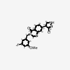 COc1cc(F)cc(Cn2cnc3cc(-c4c[nH]nc4Cl)ccc3c2=O)c1